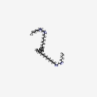 CCCCC/C=C\C/C=C\CCCCCCCCCCC(CNC)COCCCCCCCC/C=C\C/C=C\CCCCC